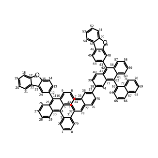 c1ccc(-c2c3ccccc3c(-c3ccc4oc5ccccc5c4c3)c3ccccc23)c(-c2ccc3cc(-c4ccc5c(-c6ccc7c(c6)oc6ccccc67)c6ccccc6c(-c6cccc7ccccc67)c5c4)ccc3c2)c1